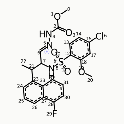 COC(=O)N/N=C/C(NS(=O)(=O)c1ccc(Cl)cc1OC)C(C)c1cccc2c(F)cccc12